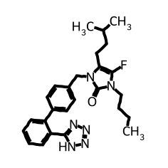 CCCCn1c(F)c(CCC(C)C)n(Cc2ccc(-c3ccccc3-c3nnn[nH]3)cc2)c1=O